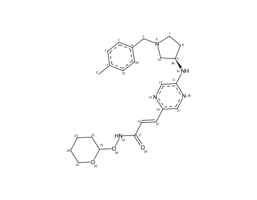 Cc1ccc(CN2CC[C@@H](Nc3cnc(C=CC(=O)NOC4CCCCO4)cn3)C2)cc1